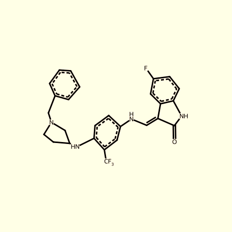 O=C1Nc2ccc(F)cc2C1=CNc1ccc(NC2CCN(Cc3ccccc3)C2)c(C(F)(F)F)c1